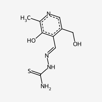 Cc1ncc(CO)c(C=NNC(N)=S)c1O